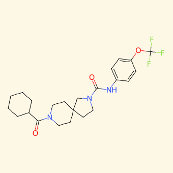 O=C(Nc1ccc(OC(F)(F)F)cc1)N1CCC2(CCN(C(=O)C3CCCCC3)CC2)C1